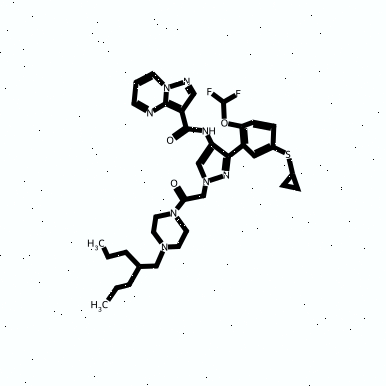 CCCC(CCC)CN1CCN(C(=O)Cn2cc(NC(=O)c3cnn4cccnc34)c(-c3cc(SC4CC4)ccc3OC(F)F)n2)CC1